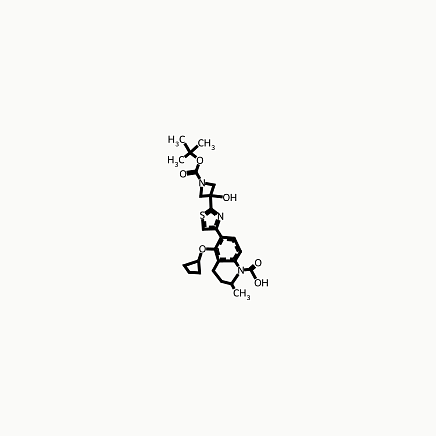 CC1CCc2c(ccc(-c3csc(C4(O)CN(C(=O)OC(C)(C)C)C4)n3)c2OC2CCC2)N1C(=O)O